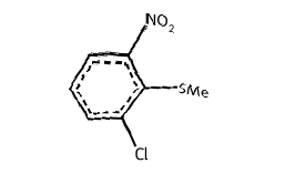 CSc1c(Cl)cccc1[N+](=O)[O-]